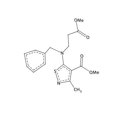 COC(=O)CCN(Cc1ccccc1)c1snc(C)c1C(=O)OC